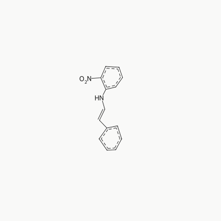 O=[N+]([O-])c1ccccc1NC=Cc1ccccc1